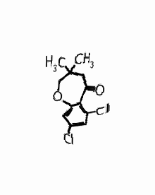 CC1(C)COc2cc(Cl)cc(Cl)c2C(=O)C1